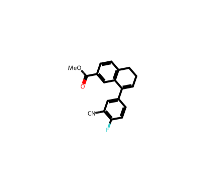 [C-]#[N+]c1cc(C2=CCCc3ccc(C(=O)OC)cc32)ccc1F